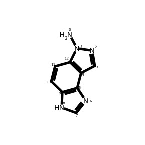 Nn1ncc2c3nc[nH]c3ccc21